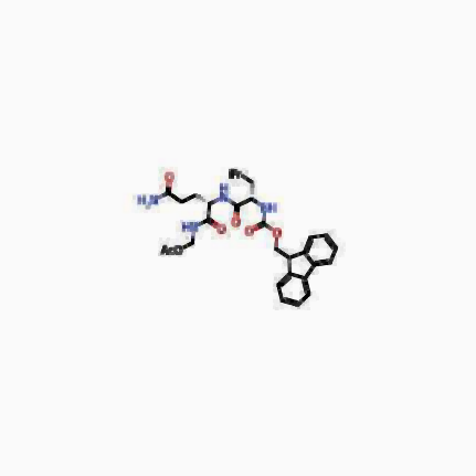 CC(=O)OCNC(=O)[C@H](CCC(N)=O)NC(=O)[C@H](CC(C)C)NC(=O)OCC1c2ccccc2-c2ccccc21